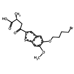 COc1cc2sc(C(=O)C[C@H](C)C(=O)O)cc2cc1OCCCCBr